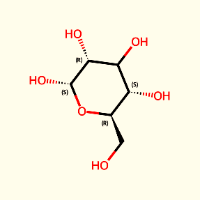 OC[C@H]1O[C@H](O)[C@H](O)C(O)[C@@H]1O